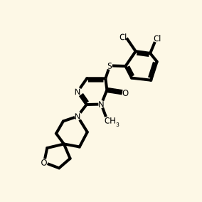 Cn1c(N2CCC3(CCOC3)CC2)ncc(Sc2cccc(Cl)c2Cl)c1=O